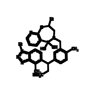 CCOC(=O)CC(c1ccc(C)c(CN2CC(CC)Oc3ncccc3S2(O)O)c1)c1ccc2c(nnn2CC)c1C